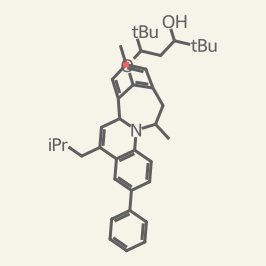 Cc1cc2c(OC(CC(O)C(C)(C)C)C(C)(C)C)c(c1)C1C=C(CC(C)C)c3cc(-c4ccccc4)ccc3N1C(C)C2